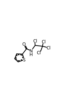 O=C(NC(Cl)C(Cl)(Cl)Cl)c1cccs1